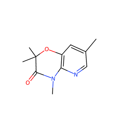 Cc1cnc2c(c1)OC(C)(C)C(=O)N2C